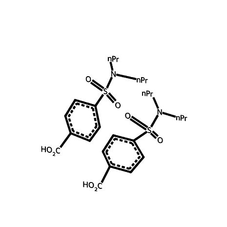 CCCN(CCC)S(=O)(=O)c1ccc(C(=O)O)cc1.CCCN(CCC)S(=O)(=O)c1ccc(C(=O)O)cc1